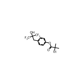 CCC(C)(C)C(=O)Oc1ccc(CC(O)(C(F)(F)F)C(F)(F)F)cc1